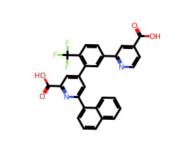 O=C(O)c1ccnc(-c2ccc(C(F)(F)F)c(-c3cc(C(=O)O)nc(-c4cccc5ccccc45)c3)c2)c1